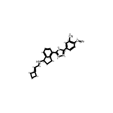 CC(C)Oc1ccc(-c2nnc(-c3cccc4c3CCC4NCC=C3CCC3)s2)cc1C#N